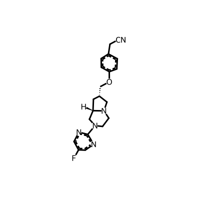 N#CCc1ccc(OC[C@H]2C[C@H]3CN(c4ncc(F)cn4)CCN3C2)cc1